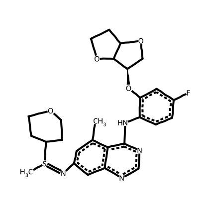 Cc1cc(/N=S(/C)C2CCOCC2)cc2ncnc(Nc3ccc(F)cc3O[C@@H]3COC4CCOC43)c12